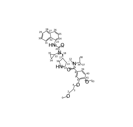 COCCCOc1cc(C(=O)N(C[C@@H]2CNC[C@H]2CN(C(=O)Nc2cccc3ccccc23)C2CC2)C(C)C)ccc1OC